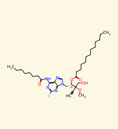 C#CC(CO)(OC)[C@H](Cn1cnc2c(NC(=O)CCCCCCC)nc(F)nc21)OC(=O)CCCCCCCCCCCC